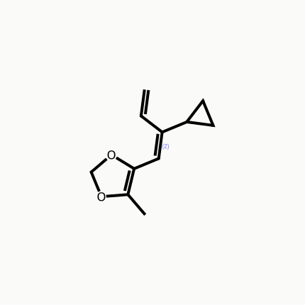 C=C/C(=C\C1=C(C)OCO1)C1CC1